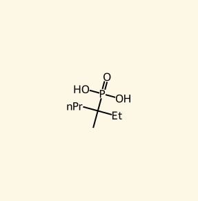 CCCC(C)(CC)P(=O)(O)O